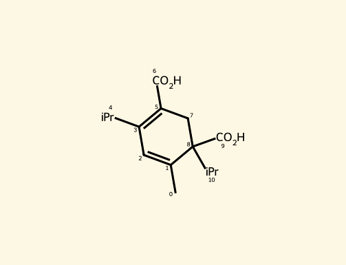 CC1=CC(C(C)C)=C(C(=O)O)CC1(C(=O)O)C(C)C